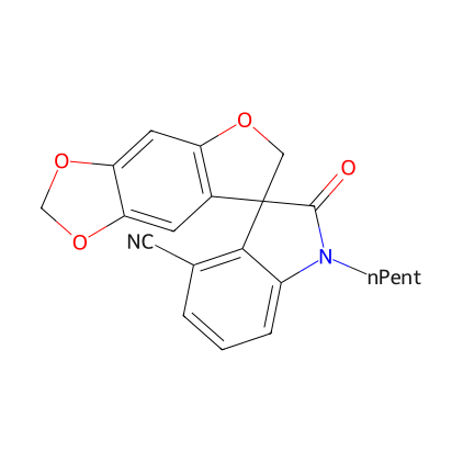 CCCCCN1C(=O)C2(COc3cc4c(cc32)OCO4)c2c(C#N)cccc21